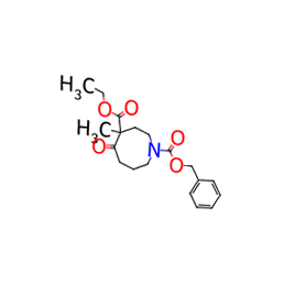 CCOC(=O)C1(C)CCN(C(=O)OCc2ccccc2)CCCC1=O